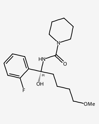 COCCCC[C@](O)(NC(=O)N1CCCCC1)c1ccccc1F